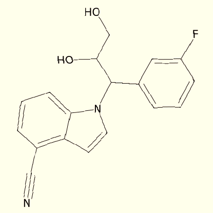 N#Cc1cccc2c1ccn2C(c1cccc(F)c1)C(O)CO